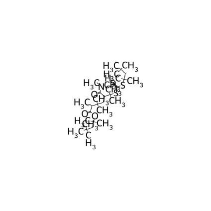 CC(C(=O)OC(C)(C)CC(C)(C)C)C(C)(C)CC(C(=O)N(C)C)C(C)(C)SC(=S)SC(C)(C)CC(C)(C)C